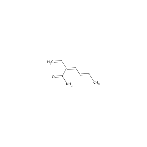 C=CC(=CC=CC)C(N)=O